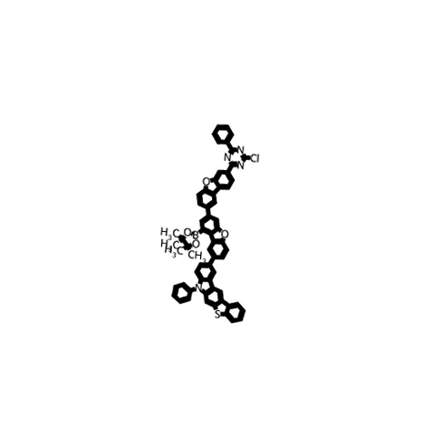 CC1(C)OB(c2cc(-c3ccc4oc5cc(-c6nc(Cl)nc(-c7ccccc7)n6)ccc5c4c3)cc3oc4ccc(-c5ccc6c(c5)c5cc7c(cc5n6-c5ccccc5)sc5ccccc57)cc4c23)OC1(C)C